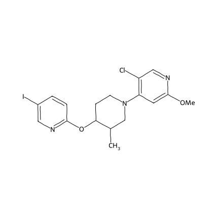 COc1cc(N2CCC(Oc3ccc(I)cn3)C(C)C2)c(Cl)cn1